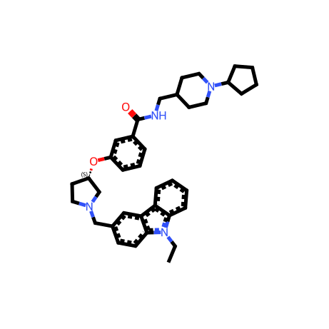 CCn1c2ccccc2c2cc(CN3CC[C@H](Oc4cccc(C(=O)NCC5CCN(C6CCCC6)CC5)c4)C3)ccc21